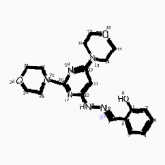 Oc1ccccc1/C=N/Nc1cc(N2CCOCC2)nc(N2CCOCC2)n1